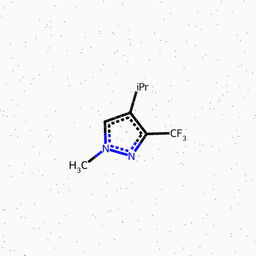 CC(C)c1cn(C)nc1C(F)(F)F